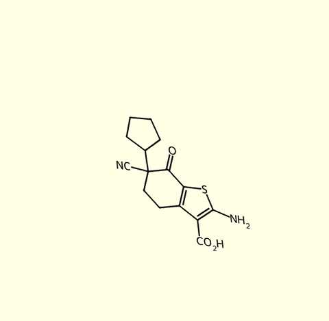 N#CC1(C2CCCC2)CCc2c(sc(N)c2C(=O)O)C1=O